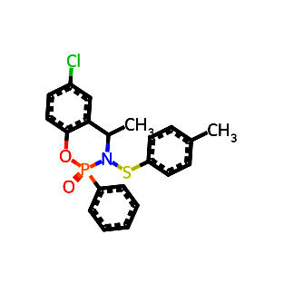 Cc1ccc(SN2C(C)c3cc(Cl)ccc3OP2(=O)c2ccccc2)cc1